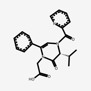 CC(C)[C@@H]1C(=O)N(CC(=O)O)C(c2ccccc2)=CN1C(=O)c1ccccn1